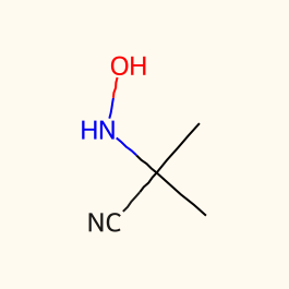 CC(C)(C#N)NO